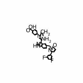 C=NN(/C=C(\N)c1n[nH]c2ccc(Cn3nc(-c4cc(F)cc(F)c4)ccc3=O)cc12)c1ccc(C(=O)O)cc1